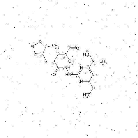 CCc1nc(NNC(=O)C(CC2CCCC2C)CN(O)C=O)nc(N(C)C)n1